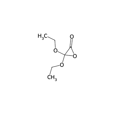 CCOC1(OCC)OC1=O